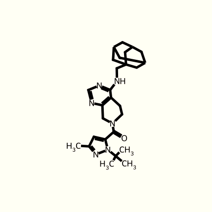 Cc1cc(C(=O)N2CCc3c(ncnc3NCC34CC5CC(CC(C5)C3)C4)C2)n(C(C)(C)C)n1